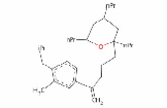 C=C(CCCC1(CCC)CC(CCC)CC(CCC)O1)c1ccc(CC(C)C)c(C)c1